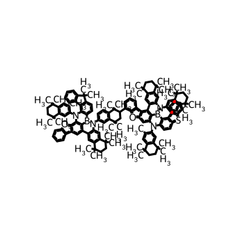 Cc1cc2c(cc1N1c3cc4oc5c(C6CC(C)(C)c7cc(N8B9c%10ccc%11c(c%10N(c%10cc%12c(cc%10C)C(C)(C)CCC%12(C)C)c%10c9c(cc9c%10oc%10ccccc%109)-c9cc%10c(cc98)C(C)(C)CCC%10(C)C)-c8ccccc8C%11(C)C)ccc7C6(C)C)cccc5c4c4c3B(c3c1ccc1sc5ccccc5c31)N(c1ccc3c(c1)C(C)(C)CCC3(C)C)c1cc3c(cc1-4)C(C)(C)CCC3(C)C)C(C)(C)CCC2(C)C